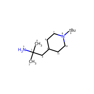 CC(C)(N)CC1CCN(C(C)(C)C)CC1